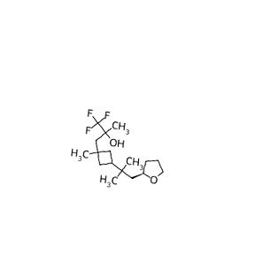 CC1(CC(C)(O)C(F)(F)F)CC(C(C)(C)C[C@H]2CCCO2)C1